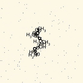 CC(C)(Cc1ccc(Oc2ccc(S(C)(=O)=O)cc2S(C)(=O)=O)cc1)NC[C@H](O)COc1cccc2[nH]c(C(N)=O)cc12